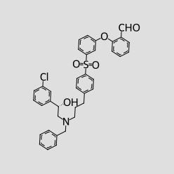 O=Cc1ccccc1Oc1cccc(S(=O)(=O)c2ccc(CCCN(Cc3ccccc3)C[C@@H](O)c3cccc(Cl)c3)cc2)c1